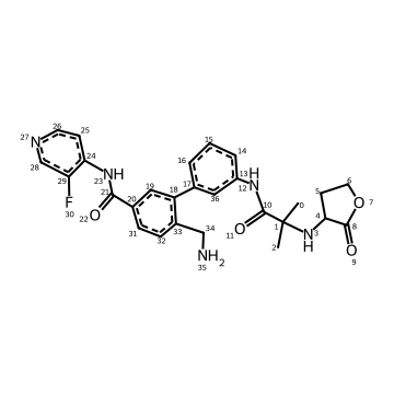 CC(C)(NC1CCOC1=O)C(=O)Nc1cccc(-c2cc(C(=O)Nc3ccncc3F)ccc2CN)c1